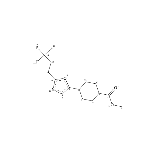 COC(=O)C1CCC(c2nnc(CCC(F)(F)F)o2)CC1